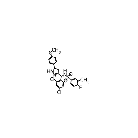 COc1ccc(C2CC(C(NS(=O)(=O)c3ccc(F)c(C)c3)c3ccc(Cl)cc3Cl)=NN2)cc1